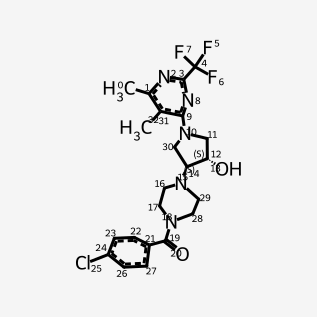 Cc1nc(C(F)(F)F)nc(N2C[C@H](O)[C@@H](N3CCN(C(=O)c4ccc(Cl)cc4)CC3)C2)c1C